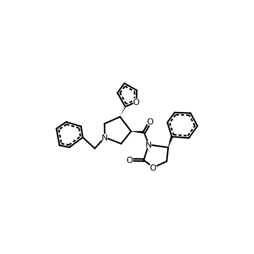 O=C1OC[C@H](c2ccccc2)N1C(=O)[C@H]1CN(Cc2ccccc2)C[C@@H]1c1ccco1